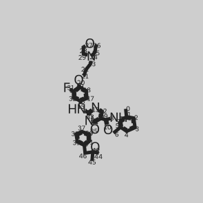 Cc1cccc(C)c1NC(=O)c1cnc(Nc2ccc(OCCCN3CCOCC3)c(F)c2)nc1Oc1cccc2c1OC(C)(C)C2